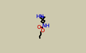 CCCCOC(=O)NC1CC2(CNC2)C1